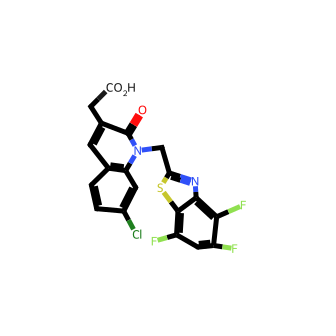 O=C(O)Cc1cc2ccc(Cl)cc2n(Cc2nc3c(F)c(F)cc(F)c3s2)c1=O